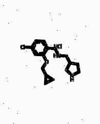 Cl.Clc1ccc(CNCC2CCNC2)c(OCC2CC2)c1